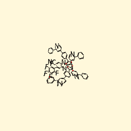 N#Cc1cc(-n2c3cc(-c4ccnc(-c5ccccc5)c4)ccc3c3ccc(-c4ccnc(-c5ccccc5)c4)cc32)c(-n2c3cc(-c4ccnc(-c5ccccc5)c4)ccc3c3ccc(-c4ccnc(-c5ccccc5)c4)cc32)cc1-c1c(F)c(F)c(F)c(F)c1F